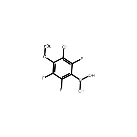 CCCCOc1c(O)c(F)c(B(O)O)c(F)c1F